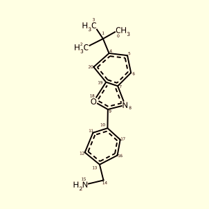 CC(C)(C)c1ccc2nc(-c3ccc(CN)cc3)oc2c1